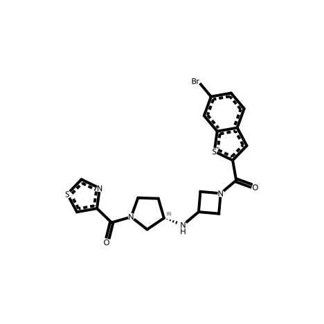 O=C(c1cscn1)N1CC[C@H](NC2CN(C(=O)c3cc4ccc(Br)cc4s3)C2)C1